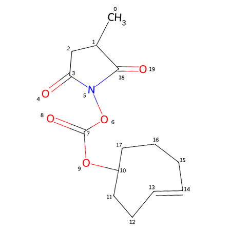 CC1CC(=O)N(OC(=O)OC2CC/C=C/CCC2)C1=O